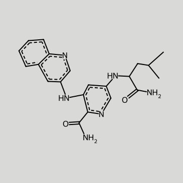 CC(C)CC(Nc1cnc(C(N)=O)c(Nc2cnc3ccccc3c2)c1)C(N)=O